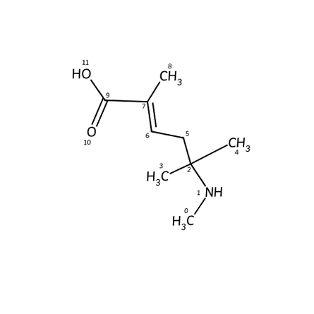 CNC(C)(C)C/C=C(\C)C(=O)O